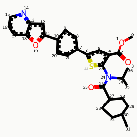 COC(=O)c1cc(-c2ccc(-c3cc4ncccc4o3)cc2)sc1N(C(=O)C1CCC(C)CC1)C(C)C